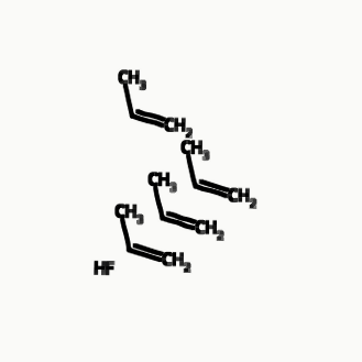 C=CC.C=CC.C=CC.C=CC.F